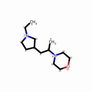 CCN1CCC(CC(C)N2CCOCC2)C1